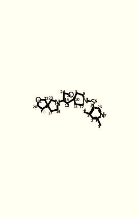 Cc1cc(C)c(SN2CCC3(CC2)CC(N2CCC4(CCOC4)C2)CO3)cn1